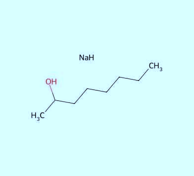 CCCCCCC(C)O.[NaH]